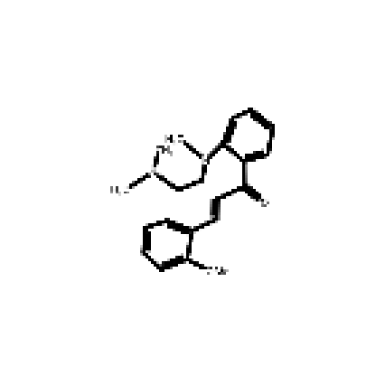 COc1ccccc1C=CC(=O)c1ccccc1N(C)CCN(C)C